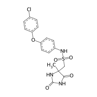 CC1(CS(=O)(=O)Nc2ccc(Oc3ccc(Cl)cc3)cc2)NC(=O)NC1=O